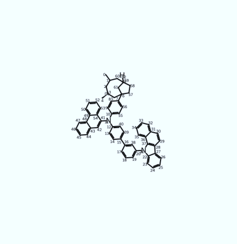 CC1C[C@H](C)CC2(c3ccc(N(c4ccc(-c5cccc(-n6c7ccccc7c7ccc8ccccc8c76)c5)cc4)c4cc5ccccc5c5ccccc45)cc3)CC[C@@H](C1)C2